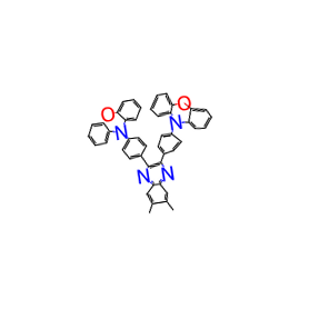 Cc1cc2nc(-c3ccc(N4c5ccccc5Oc5ccccc54)cc3)c(-c3ccc(N4c5ccccc5Oc5ccccc54)cc3)nc2cc1C